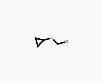 ClCOC1[CH]C1